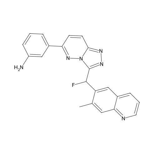 Cc1cc2ncccc2cc1C(F)c1nnc2ccc(-c3cccc(N)c3)nn12